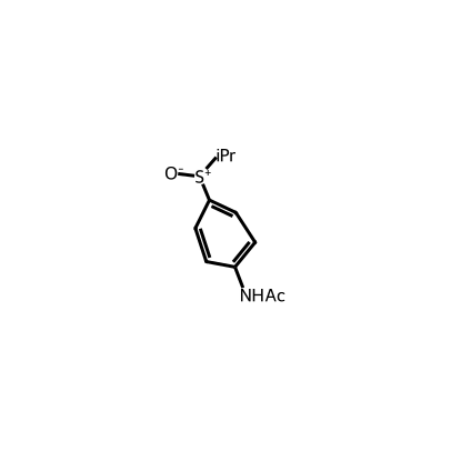 CC(=O)Nc1ccc([S+]([O-])C(C)C)cc1